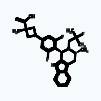 C[C@@H]1Cc2c([nH]c3ccccc23)[C@@H](c2c(F)cc(N3CC(C)(C(=O)O)C3)cc2F)N1CC(C)(C)F